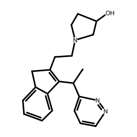 CC(C1=C(CCN2CCC(O)C2)Cc2ccccc21)c1cccnn1